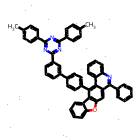 Cc1ccc(-c2nc(-c3ccc(C)cc3)nc(-c3cccc(-c4ccc(-c5c6c(cc7c(-c8ccccc8)nc8ccccc8c57)oc5ccccc56)cc4)c3)n2)cc1